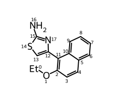 CCOc1ccc2ccccc2c1-c1csc(N)n1